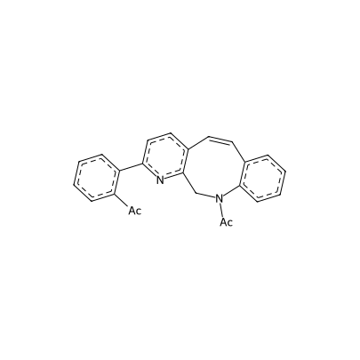 CC(=O)c1ccccc1-c1ccc2c(n1)CN(C(C)=O)c1ccccc1C=C2